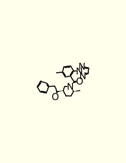 Cc1ccc(-n2nccn2)c(C(=O)N2C[C@H](C(=O)Cc3ccccc3)CC[C@@H]2C)c1